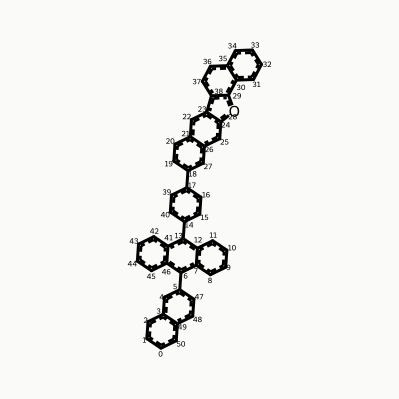 c1ccc2cc(-c3c4ccccc4c(-c4ccc(-c5ccc6cc7c(cc6c5)oc5c6ccccc6ccc75)cc4)c4ccccc34)ccc2c1